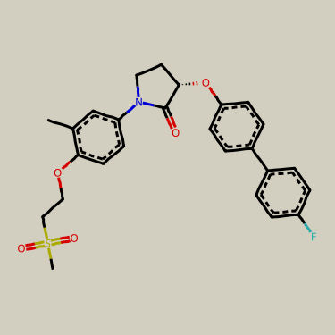 Cc1cc(N2CC[C@H](Oc3ccc(-c4ccc(F)cc4)cc3)C2=O)ccc1OCCS(C)(=O)=O